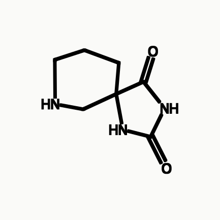 O=C1NC(=O)C2(CCCNC2)N1